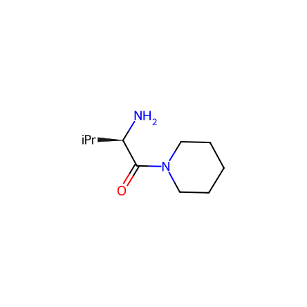 CC(C)[C@@H](N)C(=O)N1CCCCC1